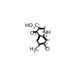 Cc1cc2c(=O)c(C(=O)O)c[nH]c2cc1Cl